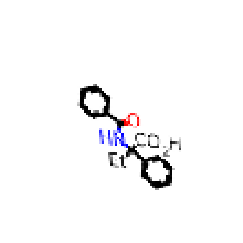 CCC(NC(=O)c1ccccc1)(C(=O)O)c1ccccc1